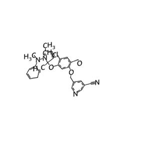 CC/C=C\C(C)(Oc1cc(OCc2cncc(C#N)c2)c(C=O)cc1Cl)N(C)N(C)C1=CC=CCC1